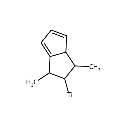 CC1C2=CC=CC2C(C)[CH]1[Ti]